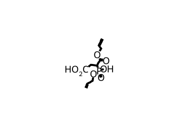 C=CCOC(=O)C(CC(=O)O)P(=O)(O)OCC=C